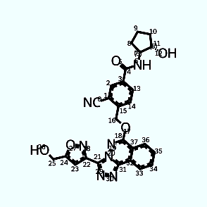 N#Cc1cc(C(=O)N[C@H]2CCC[C@@H]2O)ccc1COc1nn2c(-c3cc(CO)on3)nnc2c2ccccc12